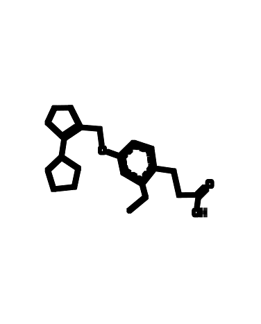 CCc1cc(OCC2=C(C3CCCC3)CCC2)ccc1CCC(=O)O